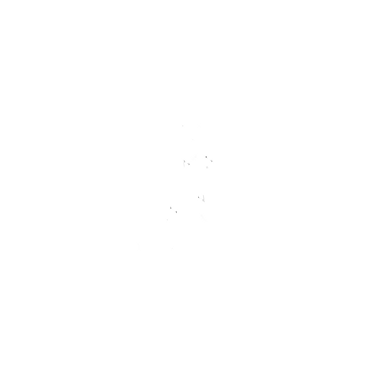 CC[C@H](NC(=O)[C@@H](N)CC(C)(F)F)C(O)c1nc(C2CC2)no1